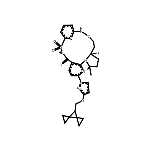 CC1(C)CC[C@H]2CCCNc3cccc(n3)S(=O)(=O)NC(=O)c3ccc(-n4ccc(OCC5C6(CC6)C56CC6)n4)nc3N21